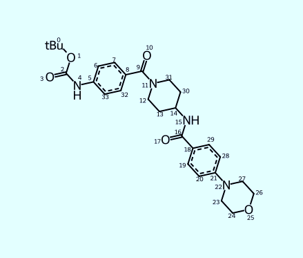 CC(C)(C)OC(=O)Nc1ccc(C(=O)N2CCC(NC(=O)c3ccc(N4CCOCC4)cc3)CC2)cc1